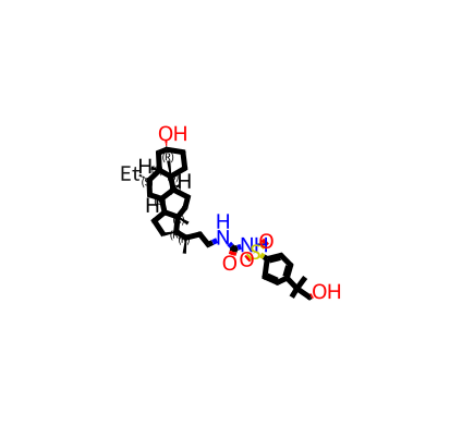 CC[C@H]1C[C@H]2C3CC[C@H]([C@H](C)CCNC(=O)NS(=O)(=O)c4ccc(C(C)(C)CO)cc4)[C@@]3(C)CC[C@@H]2[C@@]2(C)CC[C@@H](O)C[C@@H]12